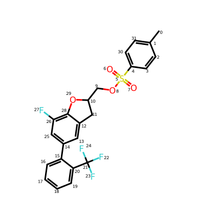 Cc1ccc(S(=O)(=O)OCC2Cc3cc(-c4ccccc4C(F)(F)F)cc(F)c3O2)cc1